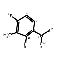 Cc1c(F)ccc(N(C)I)c1F